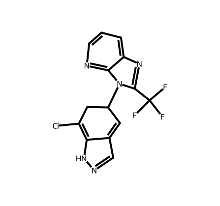 FC(F)(F)c1nc2cccnc2n1C1C=c2cn[nH]c2=C(Cl)C1